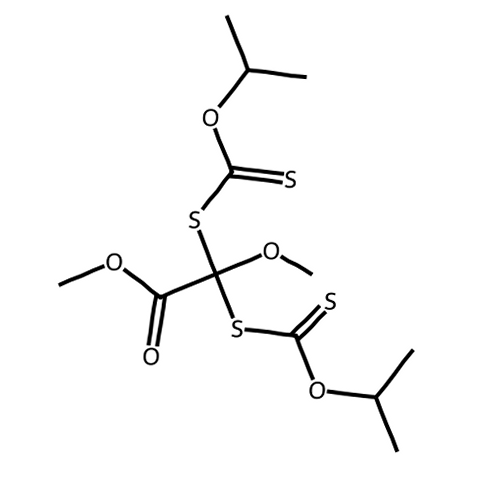 COC(=O)C(OC)(SC(=S)OC(C)C)SC(=S)OC(C)C